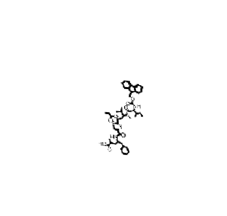 CCC(=O)OC(CC(C(C)C)N(C)C(=O)C(NC(=O)OCC1c2ccccc2-c2ccccc21)C(C)CC)c1nc(C(=O)NC(Cc2ccccc2)CC(C)C(=O)O)cs1